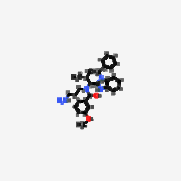 COc1cccc(C(=O)N(CCCN)C(c2nc3ccccc3n2Cc2ccccc2)C(C)C)c1